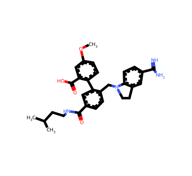 COc1ccc(-c2cc(C(=O)NCCC(C)C)ccc2CN2CCc3cc(C(=N)N)ccc32)c(C(=O)O)c1